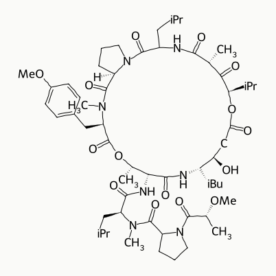 CC[C@@H](C)[C@@H]1NC(=O)[C@H](NC(=O)[C@H](CC(C)C)N(C)C(=O)C2CCCN2C(=O)[C@@H](C)OC)[C@H](C)OC(=O)[C@@H](Cc2ccc(OC)cc2)N(C)C(=O)[C@H]2CCCN2C(=O)C(CC(C)C)NC(=O)[C@H](C)C(=O)[C@@H](C(C)C)OC(=O)C[C@H]1O